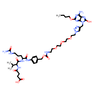 CCCCOc1nc(N)c2nc(O)n(Cc3cn(CCOCCOCCOCCNC(=O)OCc4ccc(NC(=O)C(CCCNC(N)=O)NC(=O)C(NC(=O)CCC(=O)O)C(C)C)cc4)nn3)c2n1